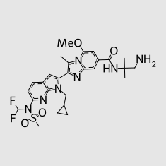 COc1cc(C(=O)NC(C)(C)CN)cc2nc(-c3cc4ccc(N(C(F)F)S(C)(=O)=O)nc4n3CC3CC3)c(C)n12